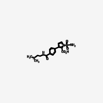 CN(C)CCNC(=O)c1ccc(-c2ccn(S(N)(=O)=O)c2C(=O)O)cc1